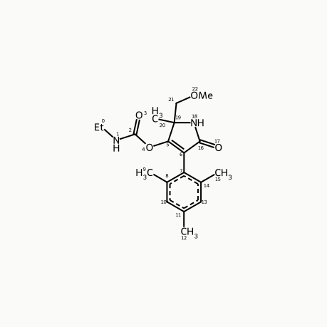 CCNC(=O)OC1=C(c2c(C)cc(C)cc2C)C(=O)NC1(C)COC